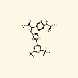 NC(=O)/C(=C/n1cnc(-c2cc(C(F)(F)F)nc(C(F)(F)F)c2)n1)c1ccc(NC(=O)O)nc1